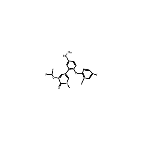 CCCCNc1ccc(Oc2ccc(F)cc2F)c(-c2cc(OC(F)F)c(=O)n(C)c2)c1